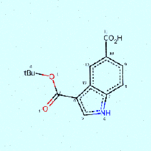 CC(C)(C)OC(=O)c1c[nH]c2ccc(C(=O)O)cc12